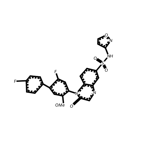 COc1cc(-c2ccc(F)cc2)c(F)cc1-n1c(=O)cnc2cc(S(=O)(=O)Nc3ccon3)ccc21